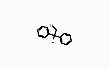 [Li][CH2][C]([Li])(c1ccccc1)c1ccccc1